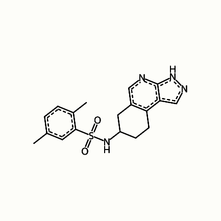 Cc1ccc(C)c(S(=O)(=O)NC2CCc3c(cnc4[nH]ncc34)C2)c1